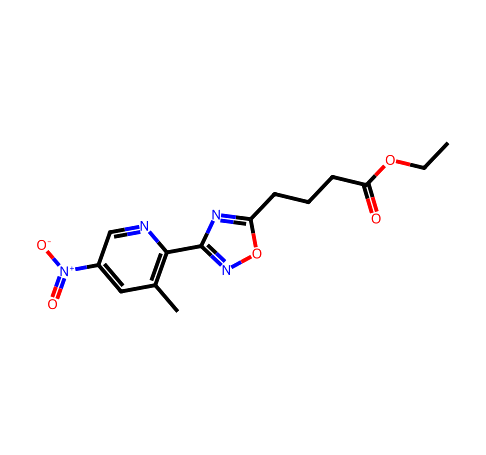 CCOC(=O)CCCc1nc(-c2ncc([N+](=O)[O-])cc2C)no1